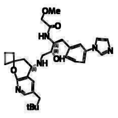 COCC(=O)N[C@@H](Cc1cccc(-n2ccnc2)c1)[C@H](O)CN[C@H]1CC2(CCC2)Oc2ncc(CC(C)(C)C)cc21